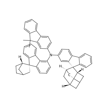 CC1(C)c2ccccc2-c2ccc(N(c3ccc4c(c3)[C@@]3(c5ccccc5-4)[C@@H]4C[C@H]5CC6C[C@@H]3[C@@]65C4)c3cccc4c3-c3ccccc3[C@@]43CC4CC[C@H]3C4)cc21